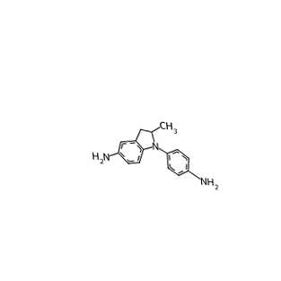 CC1Cc2cc(N)ccc2N1c1ccc(N)cc1